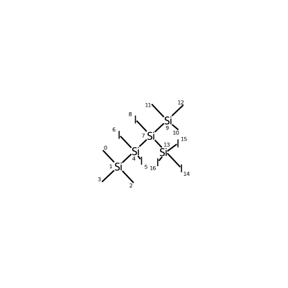 C[Si](C)(C)[Si](I)(I)[Si](I)([Si](C)(C)C)[Si](I)(I)I